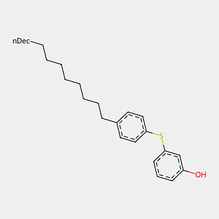 CCCCCCCCCCCCCCCCCCc1ccc(Sc2cccc(O)c2)cc1